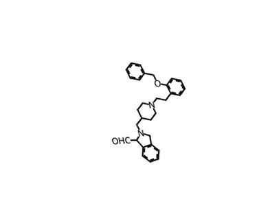 O=CC1c2ccccc2CN1CC1CCN(CCc2ccccc2OCc2ccccc2)CC1